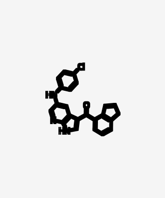 O=C(c1cccc2c1C=CC2)c1c[nH]c2ncc(Nc3ccc(Cl)cc3)cc12